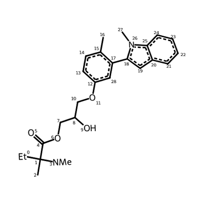 CCC(C)(NC)C(=O)OCC(O)COc1ccc(C)c(-c2cc3ccccc3n2C)c1